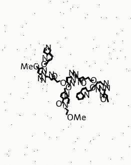 COCCCn1ccc2nc(COc3nn4c(-c5cc(CCOc6cc7nnc(-c8cc(C)on8)n7nc6OCc6ccc7ccccc7n6)on5)nnc4cc3OCCc3cc(-c4nnc5cc(OC)c(OCc6ccc7cnccc7n6)nn45)no3)ccc2c1=O